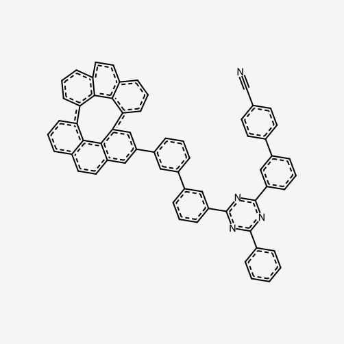 N#Cc1ccc(-c2cccc(-c3nc(-c4ccccc4)nc(-c4cccc(-c5cccc(-c6cc7ccc8cccc9c%10cccc%11ccc%12cccc(c(c6)c7c89)c%12c%11%10)c5)c4)n3)c2)cc1